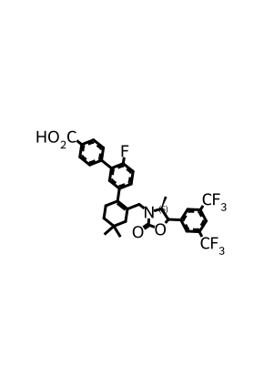 C[C@H]1C(c2cc(C(F)(F)F)cc(C(F)(F)F)c2)OC(=O)N1CC1=C(c2ccc(F)c(-c3ccc(C(=O)O)cc3)c2)CCC(C)(C)C1